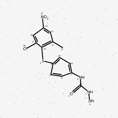 CCCNC(=O)Nc1ccc(Sc2c(C)cc([N+](=O)[O-])cc2Cl)cc1